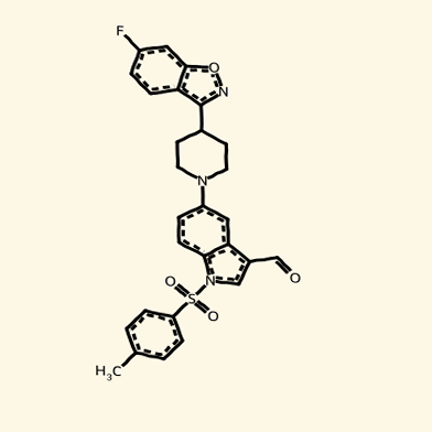 Cc1ccc(S(=O)(=O)n2cc(C=O)c3cc(N4CCC(c5noc6cc(F)ccc56)CC4)ccc32)cc1